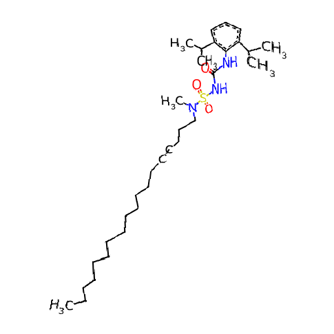 CCCCCCCCCCCCCCCCCCN(C)S(=O)(=O)NC(=O)Nc1c(C(C)C)cccc1C(C)C